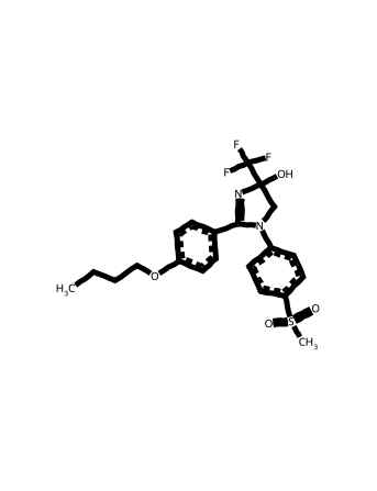 CCCCOc1ccc(C2=NC(O)(C(F)(F)F)CN2c2ccc(S(C)(=O)=O)cc2)cc1